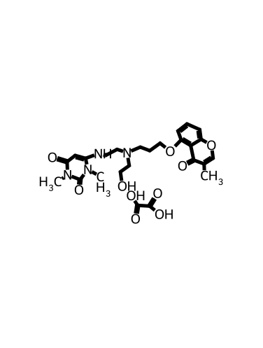 Cc1coc2cccc(OCCCN(CCO)CCNc3cc(=O)n(C)c(=O)n3C)c2c1=O.O=C(O)C(=O)O